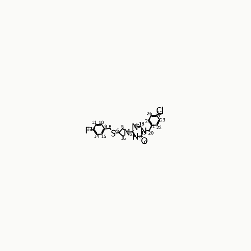 O=c1nc(N2CC(SCc3ccc(F)cc3)C2)ncn1Cc1ccc(Cl)cc1